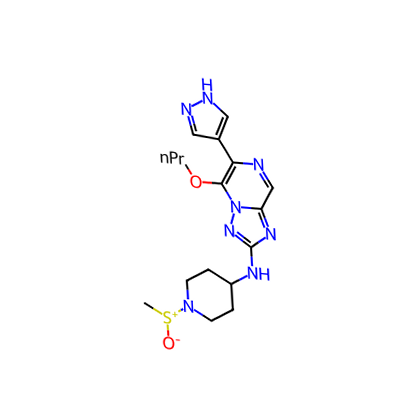 CCCOc1c(-c2cn[nH]c2)ncc2nc(NC3CCN([S+](C)[O-])CC3)nn12